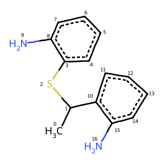 CC(Sc1ccccc1N)c1ccccc1N